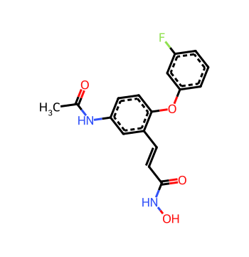 CC(=O)Nc1ccc(Oc2cccc(F)c2)c(C=CC(=O)NO)c1